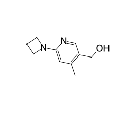 Cc1cc(N2CCC2)ncc1CO